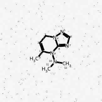 CC1=CCn2ncnc2N1N(C)C